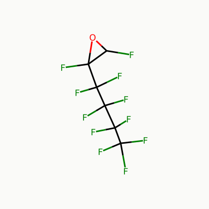 FC1OC1(F)C(F)(F)C(F)(F)C(F)(F)C(F)(F)F